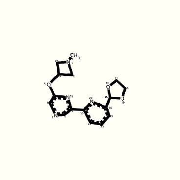 CN1CC(Oc2cncc(-c3cccc(C4OCCO4)n3)n2)C1